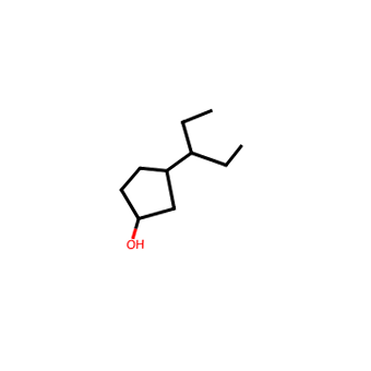 CCC(CC)C1CCC(O)C1